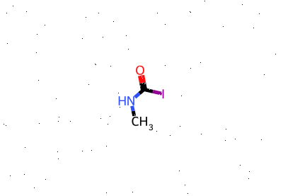 CNC(=O)I